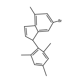 Cc1cc(C)c(C2C=Cc3c(C)cc(Br)cc32)c(C)c1